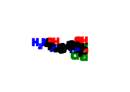 NCC1(O)CN(Cc2ccc(-c3ccc([C@@H](O)[C@@H](CF)NC(=O)C(Cl)Cl)cc3)cc2)C1